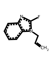 C=CCn1c(F)nc2ccccc21